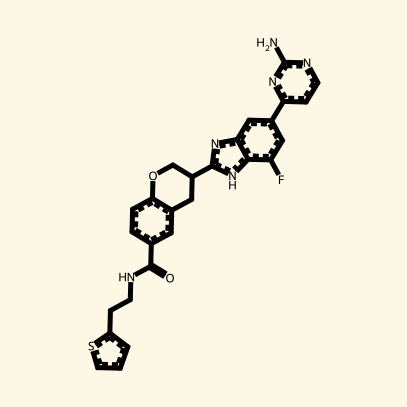 Nc1nccc(-c2cc(F)c3[nH]c(C4COc5ccc(C(=O)NCCc6cccs6)cc5C4)nc3c2)n1